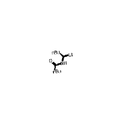 CCC[CH]C(=O)NC(CC)CCCC